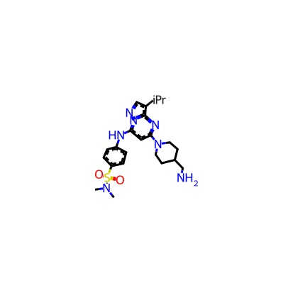 CC(C)c1cnn2c(Nc3ccc(S(=O)(=O)N(C)C)cc3)cc(N3CCC(CN)CC3)nc12